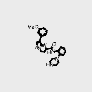 COc1cccc(-c2cnn3ccc(C(=O)Nc4ccccc4N4CCNCC4)nc23)c1